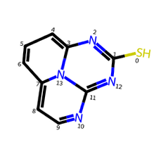 SC1=NC2=CC=CC3=CC=NC(=N1)N32